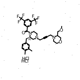 COCC1COCCN1CC#CCN1CCN(C(=O)c2cc(C(F)(F)F)cc(C(F)(F)F)c2)[C@H](Cc2ccc(C)c(C)c2)C1.Cl.Cl